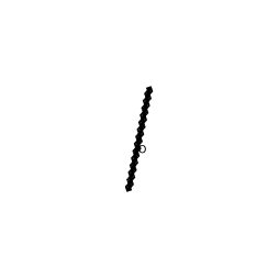 CCCCCCCCCCCCCCCCCC(=O)CCCCCCCCCCCC